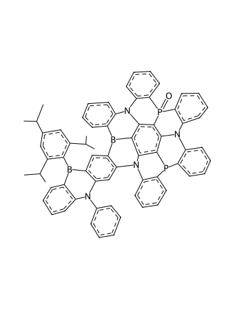 CC(C)c1cc(C(C)C)c(B2c3ccccc3N(c3ccccc3)c3cc4c(cc32)B2c3ccccc3N3c5ccccc5P5(=O)c6ccccc6N6c7ccccc7P7c8ccccc8N4c4c2c3c5c6c47)c(C(C)C)c1